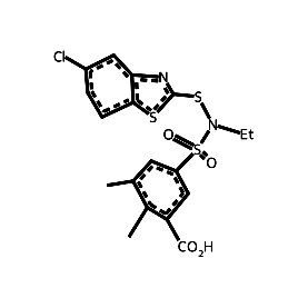 CCN(Sc1nc2cc(Cl)ccc2s1)S(=O)(=O)c1cc(C)c(C)c(C(=O)O)c1